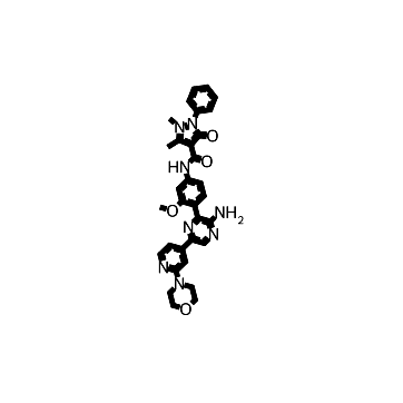 COc1cc(NC(=O)c2c(C)n(C)n(-c3ccccc3)c2=O)ccc1-c1nc(-c2ccnc(N3CCOCC3)c2)cnc1N